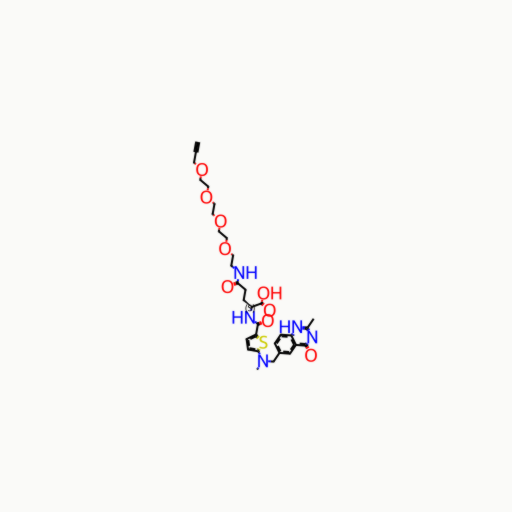 C#CCOCCOCCOCCOCCNC(=O)CC[C@H](NC(=O)c1ccc(N(C)Cc2ccc3[nH]c(C)nc(=O)c3c2)s1)C(=O)O